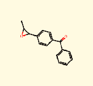 CC1OC1c1ccc(C(=O)c2ccccc2)cc1